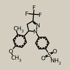 COc1ccc(C2CC(C(F)(F)F)=NN2c2ccc(S(N)(=O)=O)cc2)c(C)c1